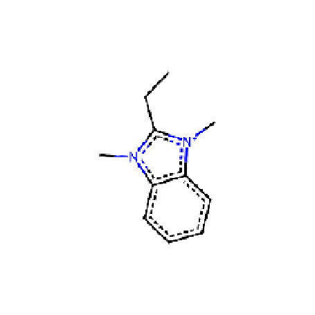 CCc1n(C)c2ccccc2[n+]1C